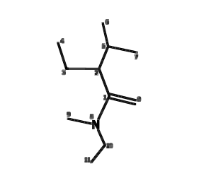 C=C(C(CC)C(C)C)N(C)CC